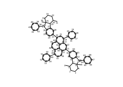 CC1CCCC2(C)C1c1cc(-c3cc4c(-c5ccccc5)cc(-c5ccc6c(c5)C5C(C)CCCC5(C)N6c5ccccc5)c5ccc6c(-c7ccccc7)ccc3c6c54)ccc1N2c1ccccc1